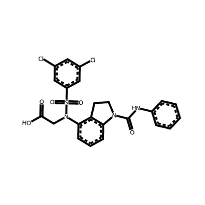 O=C(O)CN(c1cccc2c1CCN2C(=O)Nc1ccccc1)S(=O)(=O)c1cc(Cl)cc(Cl)c1